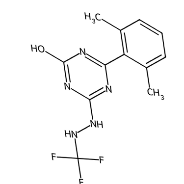 Cc1cccc(C)c1-c1nc(O)nc(NNC(F)(F)F)n1